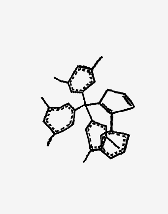 Cc1cc(C)cc(C(C2=C(c3ccccc3)C=CC2)(c2cc(C)cc(C)c2)c2cc(C)cc(C)c2)c1